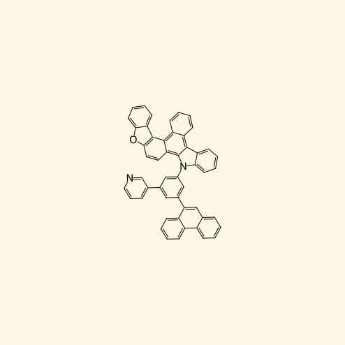 c1cncc(-c2cc(-c3cc4ccccc4c4ccccc34)cc(-n3c4ccccc4c4c5ccccc5c5c(ccc6oc7ccccc7c65)c43)c2)c1